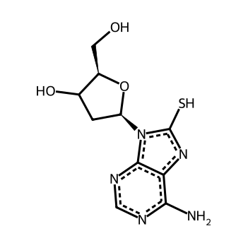 Nc1ncnc2c1nc(S)n2[C@H]1CC(O)[C@@H](CO)O1